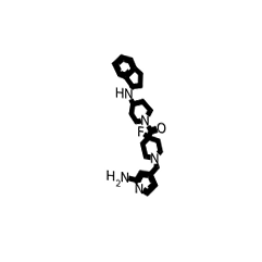 Nc1cc(CN2CCC(F)(C(=O)N3CCC(NC4CCc5ccccc54)CC3)CC2)ccn1